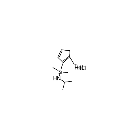 CC(C)N[Si](C)(C)C1=[C]([Ti])CC=C1.Cl.Cl